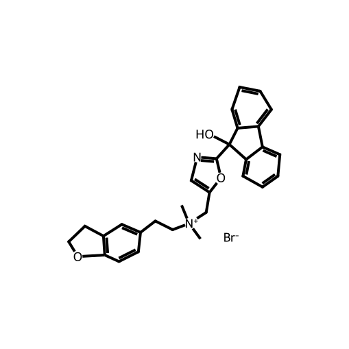 C[N+](C)(CCc1ccc2c(c1)CCO2)Cc1cnc(C2(O)c3ccccc3-c3ccccc32)o1.[Br-]